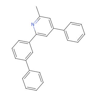 Cc1cc(-c2ccccc2)cc(-c2cccc(-c3ccccc3)c2)n1